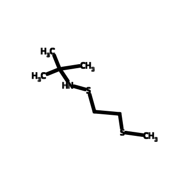 CSCCSNC(C)(C)C